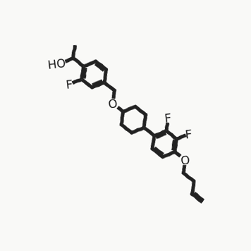 C=CCCOc1ccc(C2CCC(OCc3ccc(C(C)O)c(F)c3)CC2)c(F)c1F